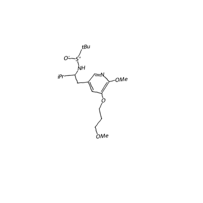 COCCCOc1cc(CC(N[S+]([O-])C(C)(C)C)C(C)C)cnc1OC